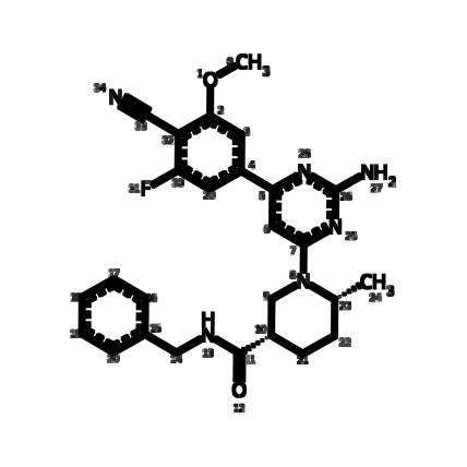 COc1cc(-c2cc(N3C[C@@H](C(=O)NCc4ccccc4)CC[C@H]3C)nc(N)n2)cc(F)c1C#N